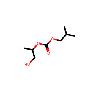 CC(C)COC(=O)OC(C)CO